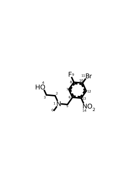 CN(CCO)Cc1cc(F)c(Br)cc1[N+](=O)[O-]